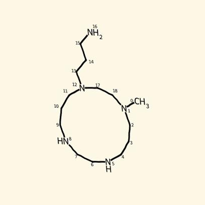 CN1CCCNCCNCCCN(CCCN)CC1